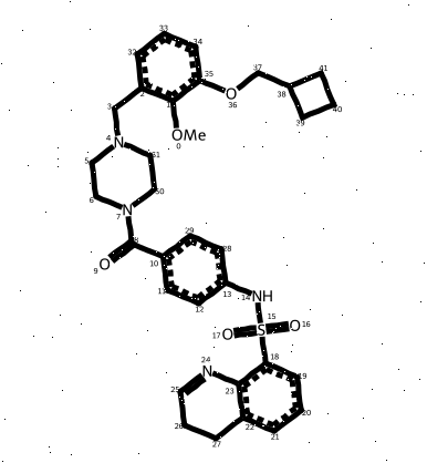 COc1c(CN2CCN(C(=O)c3ccc(NS(=O)(=O)c4cccc5c4N=CCC5)cc3)CC2)cccc1OCC1CCC1